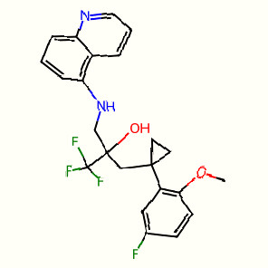 COc1ccc(F)cc1C1(CC(O)(CNc2cccc3ncccc23)C(F)(F)F)CC1